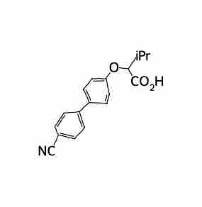 CC(C)C(Oc1ccc(-c2ccc(C#N)cc2)cc1)C(=O)O